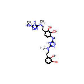 CNc1nnc(N(C)CCc2ccc(Nc3nnc(N(C)CCc4cccc(O)c4O)[nH]3)c(O)c2O)[nH]1